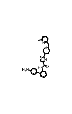 Cc1cccc(CN2CCC(c3nc(C(=O)Nc4ccccc4-c4ccc(N)cc4)cs3)CC2)n1